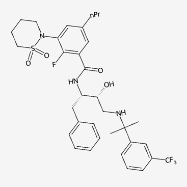 CCCc1cc(C(=O)N[C@@H](Cc2ccccc2)[C@H](O)CNC(C)(C)c2cccc(C(F)(F)F)c2)c(F)c(N2CCCCS2(=O)=O)c1